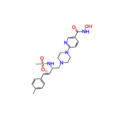 Cc1ccc(/C=C/C(CN2CCN(c3ccc(C(=O)NO)cn3)CC2)NS(C)(=O)=O)cc1